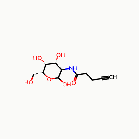 C#CCCC(=O)N[C@H]1C(O)O[C@H](CO)[C@H](O)[C@@H]1O